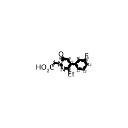 CCc1nn(CC(=O)O)c(=O)cc1-c1cccc(F)c1